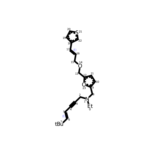 CCN(CC#C/C=C/C(C)(C)C)Cc1ccc(COC/C=C/c2ccsc2)o1